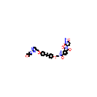 CC(C)(c1ccc(OCCNC(=O)c2ccc3c(c2)C(=O)N(C2CCC(=O)NC2=O)C3=O)cc1)c1ccc(OCc2ccnc(N3CC4(COC4)C3)n2)cc1